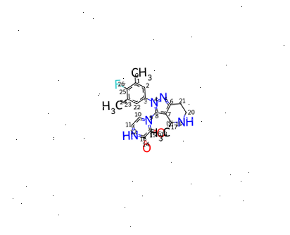 Cc1cc(-n2nc3c(c2-n2cc[nH]c(=O)c2=O)[C@H](C)NCC3)cc(C)c1F